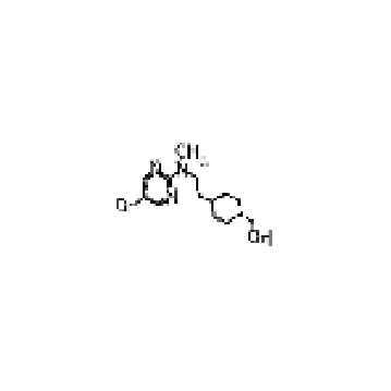 CN(CCC1CCC(CO)CC1)c1ncc(Br)cn1